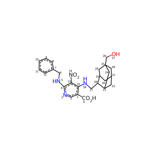 O=C(O)c1cnc(NCc2ccccc2)c([N+](=O)[O-])c1NCC1C2CC3CC1CC(CO)(C3)C2